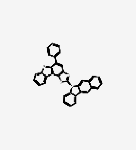 c1ccc(-c2cc3nc(-n4c5ccccc5c5cc6ccccc6cc54)sc3c3c2sc2ccccc23)cc1